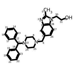 Cc1nc2cc(CN3CCN(C(c4ccccc4)c4ccccc4)CC3)ccc2n1CCO